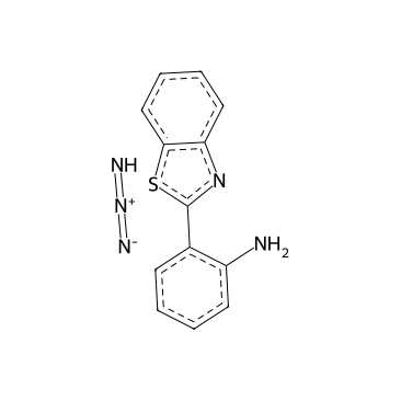 Nc1ccccc1-c1nc2ccccc2s1.[N-]=[N+]=N